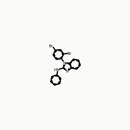 Brc1ccc(-n2c(Nc3ccccc3)nc3ccccc32)c(Br)c1